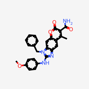 COc1ccc(Nc2nc3cc4c(C)c(C(N)=O)c(=O)oc4cc3n2Cc2ccccc2)cc1